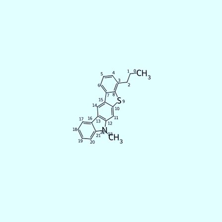 CCCc1cccc2c1sc1cc3c(cc12)c1ccccc1n3C